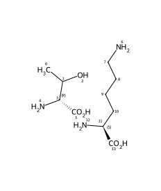 CC(O)[C@@H](N)C(=O)O.NCCCC[C@H](N)C(=O)O